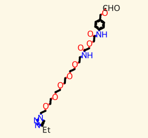 CCc1cn(CCOCCOCCOCCOCCOCCNC(=O)COCC(=O)Nc2ccc(COC=O)cc2)nn1